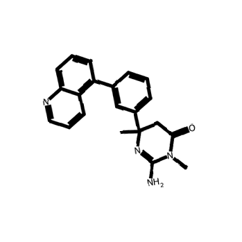 CN1C(=O)CC(C)(c2cccc(-c3cccc4ncccc34)c2)N=C1N